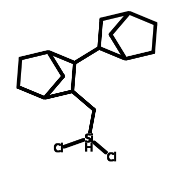 Cl[SiH](Cl)CC1C2CCC(C2)C1C1CC2CCC1C2